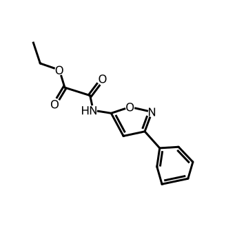 CCOC(=O)C(=O)Nc1cc(-c2ccccc2)no1